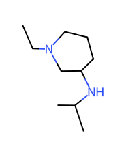 CCN1CCCC(NC(C)C)C1